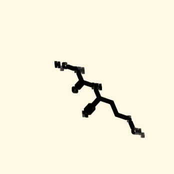 CNC(=O)NC(C#N)CCSC